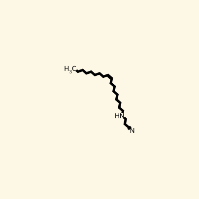 CCCCCCCC/C=C\CCCCCCCCNCCC#N